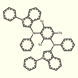 [2H]c1cc([2H])c(N(c2ccccc2)c2cn(-c3ccccc3)c3ccccc23)c([2H])c1N(c1ccccc1)c1cn(-c2ccccc2)c2ccccc12